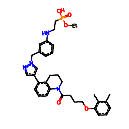 CCOP(=O)(O)CCNc1cccc(Cn2cc(-c3cccc4c3CCCN4C(=O)CCCOc3cccc(C)c3C)cn2)c1